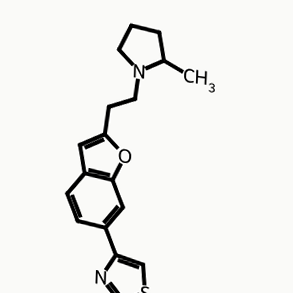 CC1CCCN1CCc1cc2ccc(-c3cscn3)cc2o1